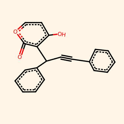 O=c1occc(O)c1C(C#Cc1ccccc1)c1ccccc1